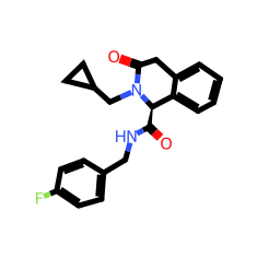 O=C(NCc1ccc(F)cc1)[C@@H]1c2ccccc2CC(=O)N1CC1CC1